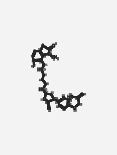 CN1C(=O)Cc2ccc(F)c(CNCCCNC3CN(c4ccc5c(n4)NC(=O)CO5)C(=O)O3)c21